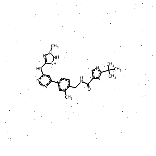 Cc1cc(-c2cc(NC3=NN(C)NN3)ncn2)ccc1CNC(=O)c1cnc(C(C)(C)C)s1